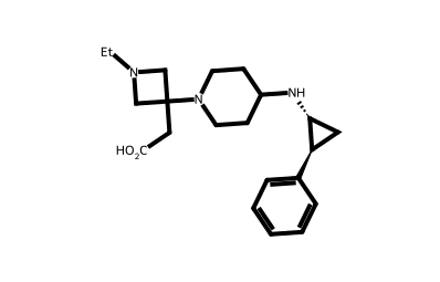 CCN1CC(CC(=O)O)(N2CCC(N[C@@H]3C[C@H]3c3ccccc3)CC2)C1